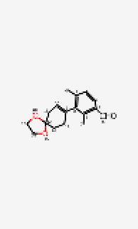 Cc1ccc(C=O)c(C)c1C1=CCC2(CC1)OCCO2